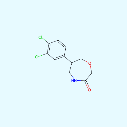 O=C1COCC(c2ccc(Cl)c(Cl)c2)CN1